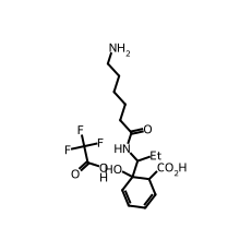 CCC(NC(=O)CCCCCN)C1(O)C=CC=CC1C(=O)O.O=C(O)C(F)(F)F